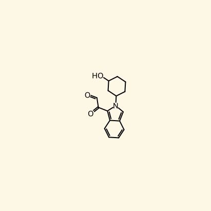 O=CC(=O)c1c2ccccc2cn1C1CCCC(O)C1